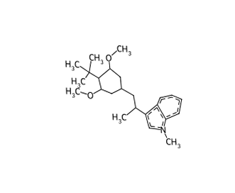 COC1CC(CC(C)c2cn(C)c3ccccc23)CC(OC)C1C(C)(C)C